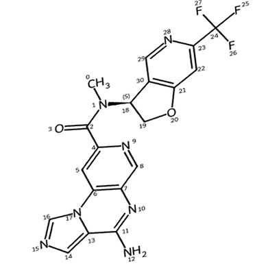 CN(C(=O)c1cc2c(cn1)nc(N)c1cncn12)[C@@H]1COc2cc(C(F)(F)F)ncc21